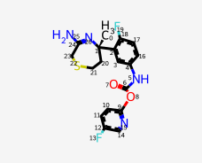 C[C@@]1(c2cc(NC(=O)Oc3ccc(F)cn3)ccc2F)CCSCC(N)=N1